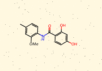 COc1cc(C)ccc1NC(=O)c1ccc(O)cc1O